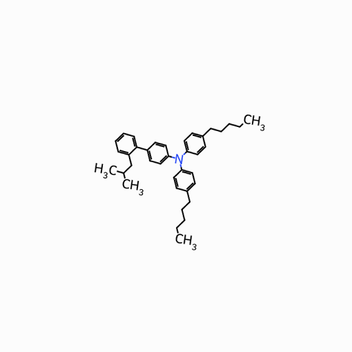 CCCCCc1ccc(N(c2ccc(CCCCC)cc2)c2ccc(-c3ccccc3CC(C)C)cc2)cc1